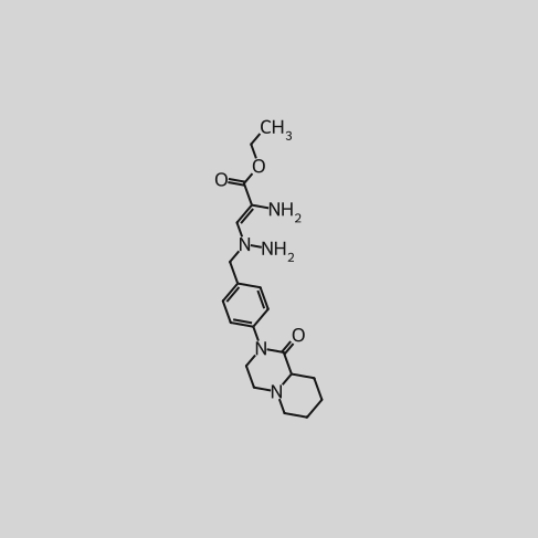 CCOC(=O)/C(N)=C/N(N)Cc1ccc(N2CCN3CCCCC3C2=O)cc1